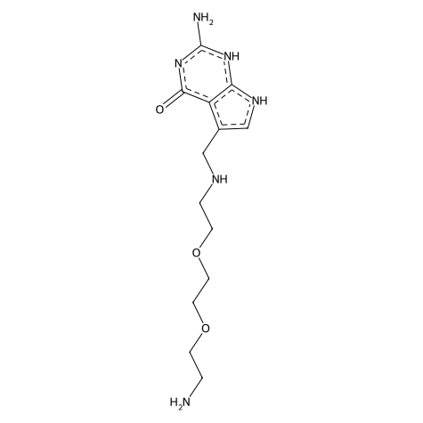 NCCOCCOCCNCc1c[nH]c2[nH]c(N)nc(=O)c12